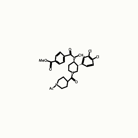 COC(=O)c1ccc(C(=O)N(C)[C@@H]2CCN(C(=O)C3CCN(C(C)=O)CC3)C[C@H]2c2ccc(Cl)c(Cl)c2)cc1